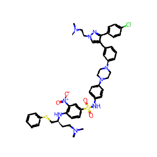 CN(C)CC[C@@H](CSc1ccccc1)Nc1ccc(S(=O)(=O)Nc2ccc(N3CCN(c4cccc(-c5cn(CCN(C)C)nc5-c5ccc(Cl)cc5)c4)CC3)cc2)cc1[N+](=O)[O-]